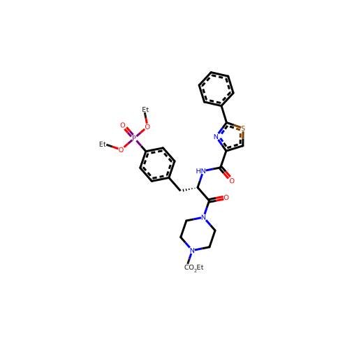 CCOC(=O)N1CCN(C(=O)[C@H](Cc2ccc(P(=O)(OCC)OCC)cc2)NC(=O)c2csc(-c3ccccc3)n2)CC1